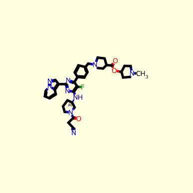 CN1CCC(OC(=O)C2CCN(Cc3ccc(-c4nc(-c5cnn6ccccc56)nc(N[C@@H]5CCCN(C(=O)CC#N)C5)c4F)cc3)CC2)CC1